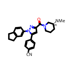 CN[C@@H]1CCCN(C(=O)c2cc(-c3ccc(C#N)cc3)n(-c3ccc4c(c3)CCC4)n2)C1